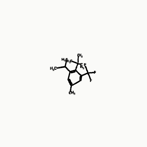 Cc1cc(C(C)C)c(C(C)(C)C)c(C(F)(F)F)c1